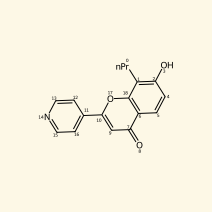 CCCc1c(O)ccc2c(=O)cc(-c3ccncc3)oc12